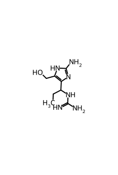 CCC(NC(=N)N)c1nc(N)[nH]c1CO